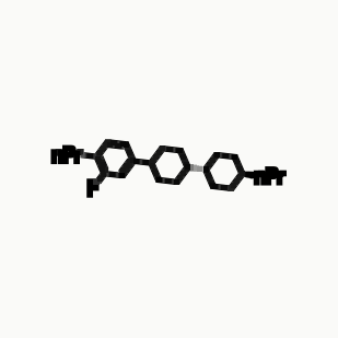 CCCc1ccc(C2CCC([C@H]3CC[C@H](CCC)CC3)CC2)cc1F